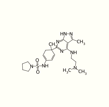 Cc1n[nH]c2nc(C3(C)C=CC(NS(=O)(=O)N4CCCC4)=CC3)nc(NCCN(C)C)c12